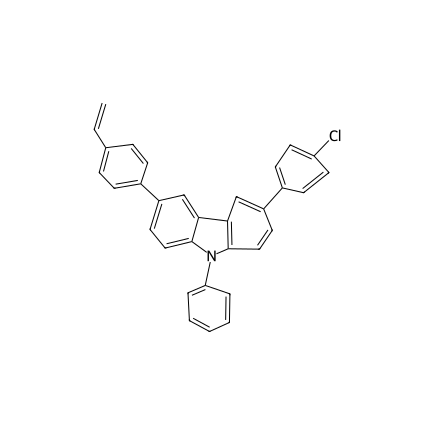 C=Cc1ccc(-c2ccc3c(c2)c2cc(-c4ccc(Cl)cc4)ccc2n3-c2ccccc2)cc1